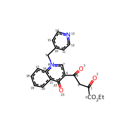 CCOC(=O)C(=O)CC(=O)c1cn(Cc2ccncc2)c2ccccc2c1=O